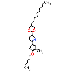 CCCCCCCCCCC1COC(c2ccc(-c3ccc(OCCCCCC)c(C)c3)nc2)OC1